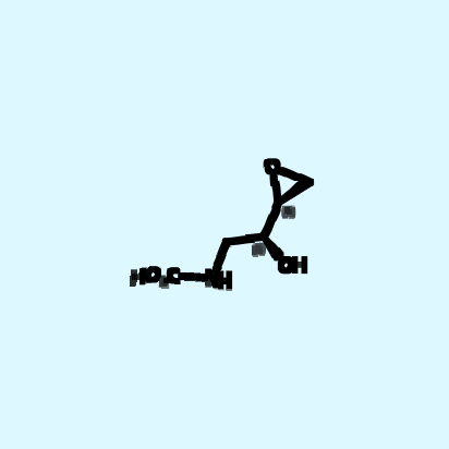 O=C(O)NC[C@H](O)[C@@H]1CO1